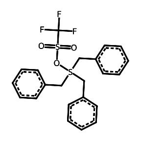 O=S(=O)(OS(Cc1ccccc1)(Cc1ccccc1)Cc1ccccc1)C(F)(F)F